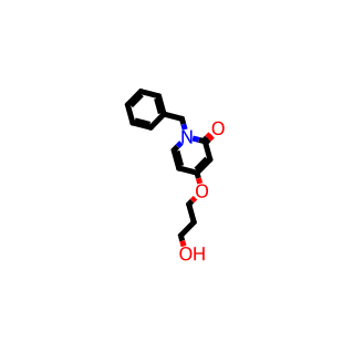 O=c1cc(OCCCO)ccn1Cc1ccccc1